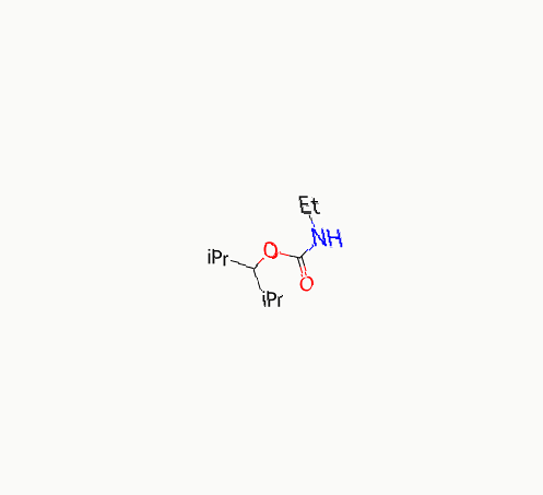 CCNC(=O)OC(C(C)C)C(C)C